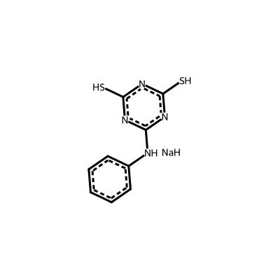 Sc1nc(S)nc(Nc2ccccc2)n1.[NaH]